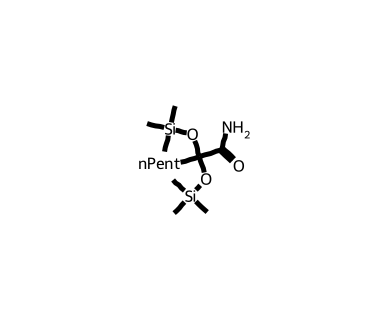 CCCCCC(O[Si](C)(C)C)(O[Si](C)(C)C)C(N)=O